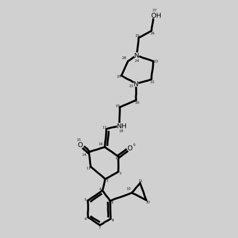 O=C1CC(c2ccccc2C2CC2)CC(=O)C1=CNCCN1CCN(CCO)CC1